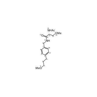 COCCCc1ccc(CNC(=O)[C@@H](COC)NC(C)=O)cc1